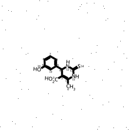 CC1=C(C(=O)O)C(c2cccc(O)c2)NC(=S)N1